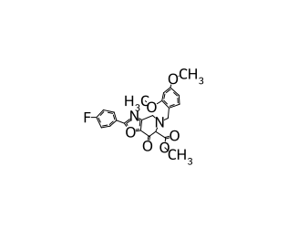 COC(=O)C1C(=O)c2oc(-c3ccc(F)cc3)nc2CN1Cc1ccc(OC)cc1OC